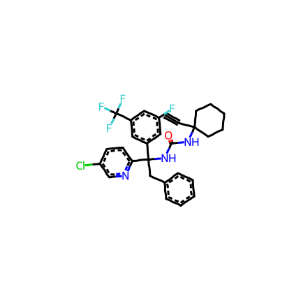 C#CC1(NC(=O)NC(Cc2ccccc2)(c2cc(F)cc(C(F)(F)F)c2)c2ccc(Cl)cn2)CCCCC1